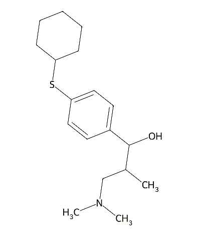 CC(CN(C)C)C(O)c1ccc(SC2CCCCC2)cc1